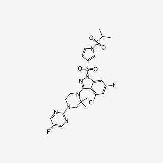 CC(C)S(=O)(=O)n1ccc(S(=O)(=O)n2nc(N3CCN(c4ncc(F)cn4)CC3(C)C)c3c(Cl)cc(F)cc32)c1